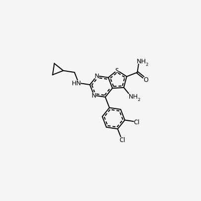 NC(=O)c1sc2nc(NCC3CC3)nc(-c3ccc(Cl)c(Cl)c3)c2c1N